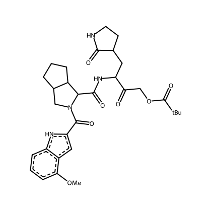 COc1cccc2[nH]c(C(=O)N3CC4CCCC4C3C(=O)NC(CC3CCNC3=O)C(=O)COC(=O)C(C)(C)C)cc12